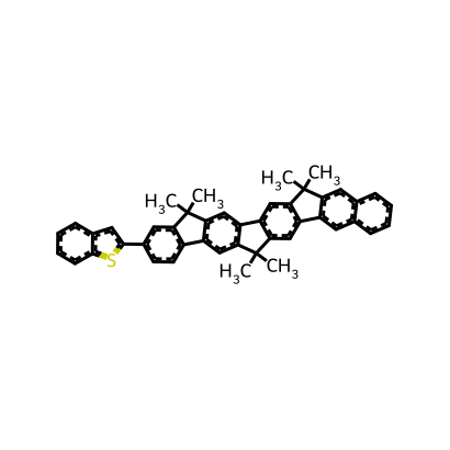 CC1(C)c2cc(-c3cc4ccccc4s3)ccc2-c2cc3c(cc21)-c1cc2c(cc1C3(C)C)-c1cc3ccccc3cc1C2(C)C